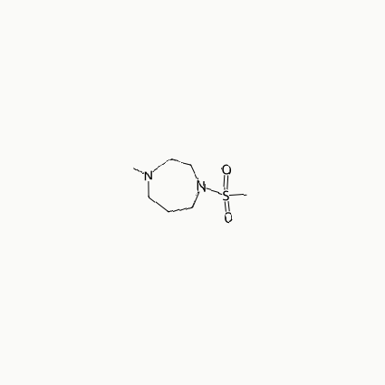 CN1CCCN(S(C)(=O)=O)CC1